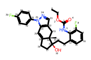 CCOC(=O)Nc1c(F)cccc1CC[C@]1(O)CCC2=Cc3c(cnn3-c3ccc(F)cc3)C[C@@]21C